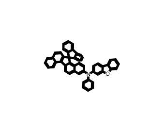 c1ccc(N(c2ccc3c4c(ccc3c2)-c2c(ccc3ccccc23)C42c3ccccc3-c3ccccc32)c2ccc3c(c2)oc2ccccc23)cc1